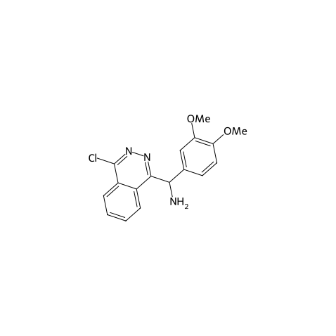 COc1ccc(C(N)c2nnc(Cl)c3ccccc23)cc1OC